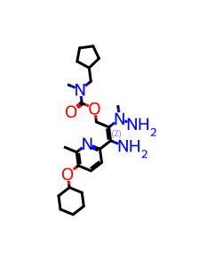 Cc1nc(/C(N)=C(\COC(=O)N(C)CC2CCCC2)N(C)N)ccc1OC1CCCCC1